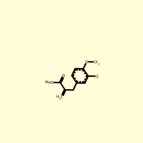 C=C(Cc1ccc(OC(F)(F)F)c(Cl)c1)C(=O)OC